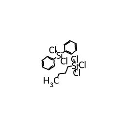 CCCC[Si](Cl)(Cl)Cl.Cl[Si](Cl)(c1ccccc1)c1ccccc1